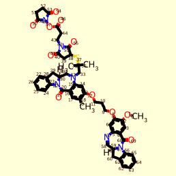 COc1cc2c(cc1OCCCOc1cc3c(cc1C)C(=O)N1c4ccccc4C[C@H]1CN3CC(C)(C)SC1CC(=O)N(CCC(=O)ON3C(=O)CCC3=O)C1=O)N=C[C@@H]1Cc3ccccc3N1C2=O